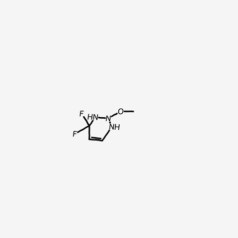 CON1NC=CC(F)(F)N1